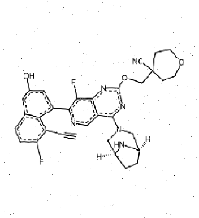 C#Cc1c(F)ccc2cc(O)cc(-c3ncc4c(N5C[C@H]6CC[C@@H](C5)N6)nc(OCC5(C#N)CCOCC5)nc4c3F)c12